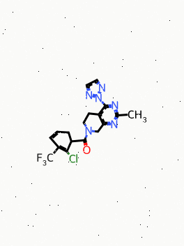 Cc1nc2c(c(-n3nccn3)n1)CCN(C(=O)C1CC=CC(C(F)(F)F)=C1Cl)C2